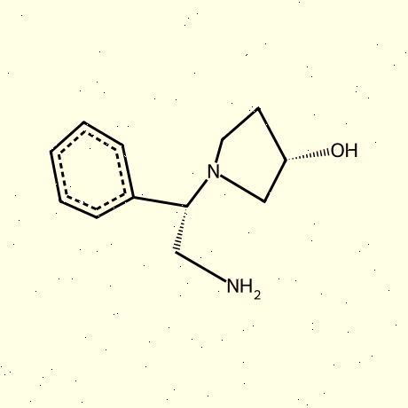 NC[C@H](c1ccccc1)N1CC[C@H](O)C1